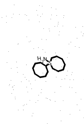 NS1(C2CCCCCCC2)CCCCCCC1